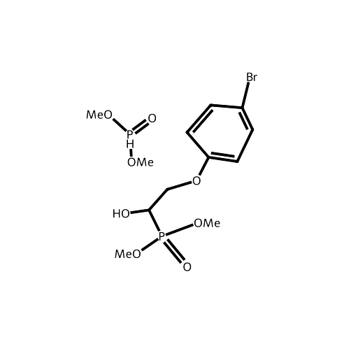 COP(=O)(OC)C(O)COc1ccc(Br)cc1.CO[PH](=O)OC